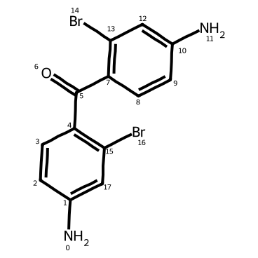 Nc1ccc(C(=O)c2ccc(N)cc2Br)c(Br)c1